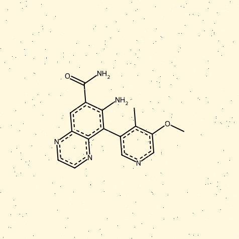 COc1cncc(-c2c(N)c(C(N)=O)cc3nccnc23)c1C